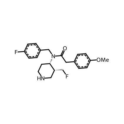 COc1ccc(CC(=O)N(Cc2ccc(F)cc2)[C@H]2CCNC[C@H]2CF)cc1